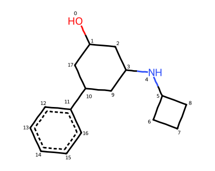 OC1CC(NC2CCC2)CC(c2ccccc2)C1